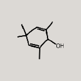 CC1=CC(C)(C)C=C(C)C1O